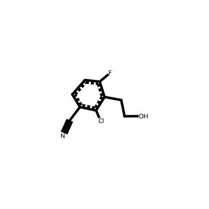 N#Cc1ccc(F)c(CCO)c1Cl